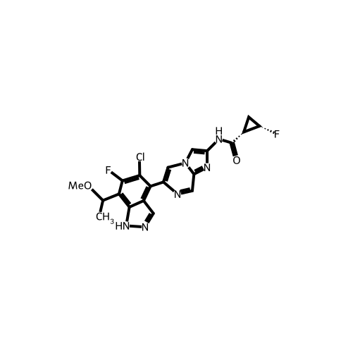 COC(C)c1c(F)c(Cl)c(-c2cn3cc(NC(=O)[C@@H]4C[C@@H]4F)nc3cn2)c2cn[nH]c12